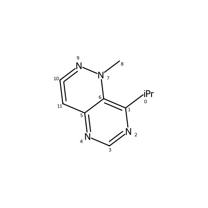 CC(C)c1ncnc2c1N(C)N=C=C2